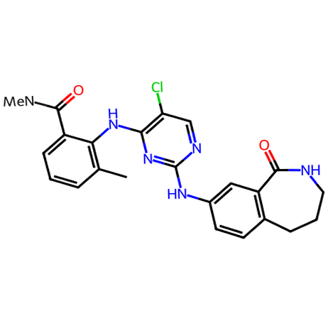 CNC(=O)c1cccc(C)c1Nc1nc(Nc2ccc3c(c2)C(=O)NCCC3)ncc1Cl